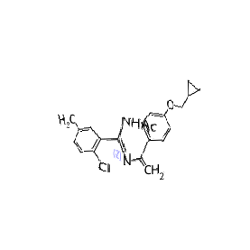 C=C(/N=C(\NC(C)=O)c1cc(C)ccc1Cl)c1ccc(OCC2CC2)cc1